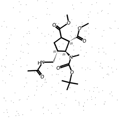 COC(=O)C1C[C@@H](CNC(C)=O)[C@H](N(C)C(=O)OC(C)(C)C)[C@H]1C(=O)OC